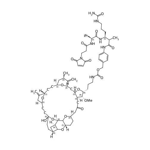 C=C1C[C@@H]2CC[C@@]3(O)CC[C@@H]4C[C@@H]5C4O[C@H]4CC[C@H](CC(=O)C[C@@H]6[C@@H](OC)[C@@H](CCCNC(=O)OCc7ccc(NC(=O)C(C)[C@H](CCCNC(N)=O)NC(=O)[C@@H](NC(=O)CCN8C(=O)C=CC8=O)C(C)C)cc7)O[C@H]6C[C@H]6O[C@@H](CC[C@@H]1O2)C[C@@H](C)C6=C)OC4[C@@H]5O3